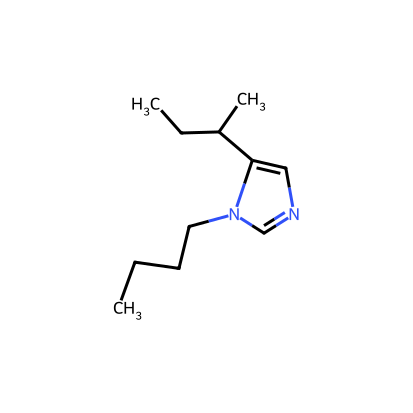 CCCCn1cncc1C(C)CC